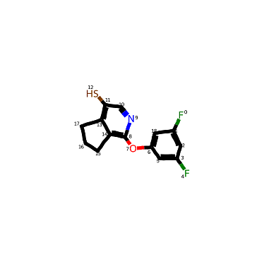 Fc1cc(F)cc(Oc2ncc(S)c3c2CCC3)c1